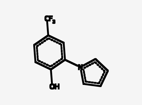 Oc1ccc(C(F)(F)F)cc1-n1cccc1